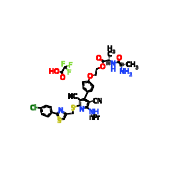 CCCNc1nc(SCc2csc(-c3ccc(Cl)cc3)n2)c(C#N)c(-c2ccc(OCCOC(=O)[C@H](C)NC(=O)[C@H](C)N)cc2)c1C#N.O=C(O)C(F)(F)F